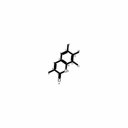 Cc1cc2cc(C)c(=O)oc2c(C)c1C